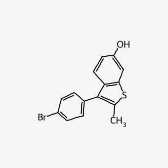 Cc1sc2cc(O)ccc2c1-c1ccc(Br)cc1